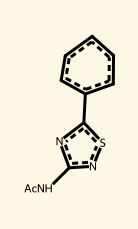 CC(=O)Nc1nsc(-c2ccccc2)n1